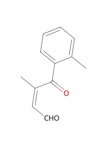 C/C(=C/C=O)C(=O)c1ccccc1C